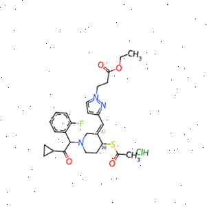 CCOC(=O)CCn1ccc(/C=C2\CN(C(C(=O)C3CC3)c3ccccc3F)CC[C@@H]2SC(C)=O)n1.Cl